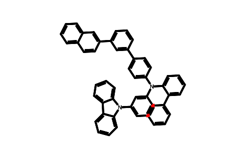 c1ccc(-c2ccccc2N(c2ccc(-c3cccc(-c4ccc5ccccc5c4)c3)cc2)c2cccc(-n3c4ccccc4c4ccccc43)c2)cc1